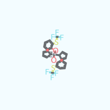 FC(F)(F)Sc1ccccc1[O][Zr]([O]c1ccccc1SC(F)(F)F)([CH]1C=CC=C1)[CH]1C=CC=C1